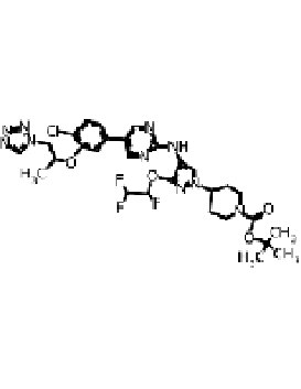 CC(Cn1cnnn1)Oc1cc(-c2cnc(Nc3cn(C4CCN(C(=O)OC(C)(C)C)CC4)nc3OC(F)C(F)F)nc2)ccc1Cl